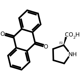 O=C(O)[C@@H]1CCCN1.O=C1c2ccccc2C(=O)c2ccccc21